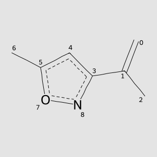 C=C(C)c1cc(C)on1